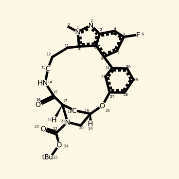 Cn1nc2cc(F)cc3c2c1CCCNC(=O)[C@@H]1C[C@@H](CN1C(=O)OC(C)(C)C)Oc1cccc-3c1